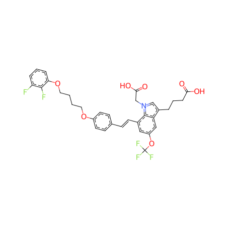 O=C(O)CCCc1cn(CC(=O)O)c2c(C=Cc3ccc(OCCCCOc4cccc(F)c4F)cc3)cc(OC(F)(F)F)cc12